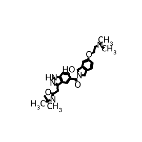 CN(C)CCOc1ccc2c(c1)CN(C(=O)c1cc3c(CC4=NC(C)(C)CO4)n[nH]c3cc1O)C2